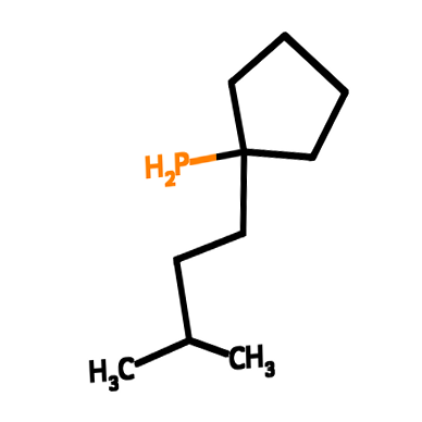 CC(C)CCC1(P)CCCC1